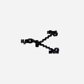 CCCCC/C=C\C/C=C\CCCCCCCCN(CCCCCCCC/C=C\C/C=C\CCCCC)C(=O)OCCN1CCN(C)CC1